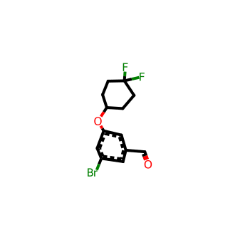 O=Cc1cc(Br)cc(OC2CCC(F)(F)CC2)c1